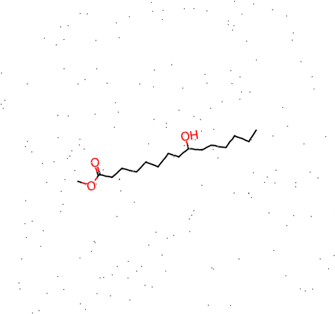 CCCCCCC(O)CCCCCCCC(=O)OC